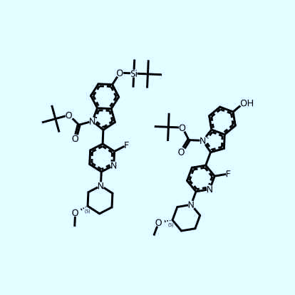 CO[C@H]1CCCN(c2ccc(-c3cc4cc(O)ccc4n3C(=O)OC(C)(C)C)c(F)n2)C1.CO[C@H]1CCCN(c2ccc(-c3cc4cc(O[Si](C)(C)C(C)(C)C)ccc4n3C(=O)OC(C)(C)C)c(F)n2)C1